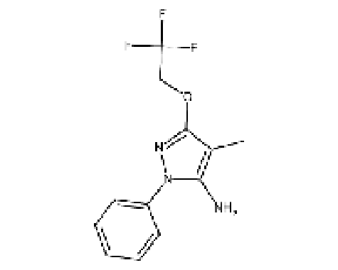 Cc1c(OCC(F)(F)F)nn(-c2ccccc2)c1N